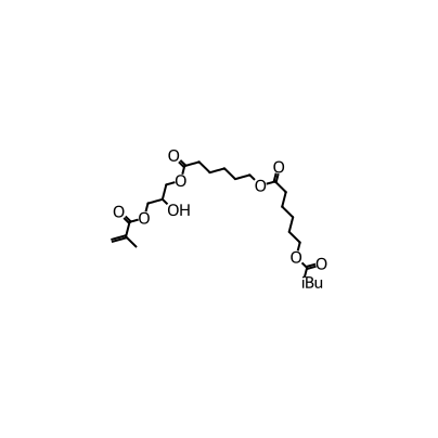 C=C(C)C(=O)OCC(O)COC(=O)CCCCCOC(=O)CCCCCOC(=O)C(C)CC